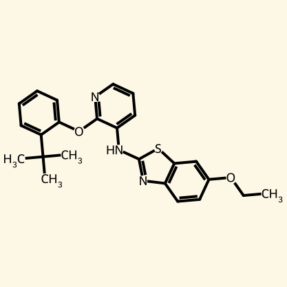 CCOc1ccc2nc(Nc3cccnc3Oc3ccccc3C(C)(C)C)sc2c1